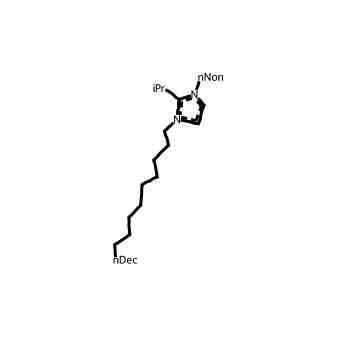 CCCCCCCCCCCCCCCCCCC[n+]1ccn(CCCCCCCCC)c1C(C)C